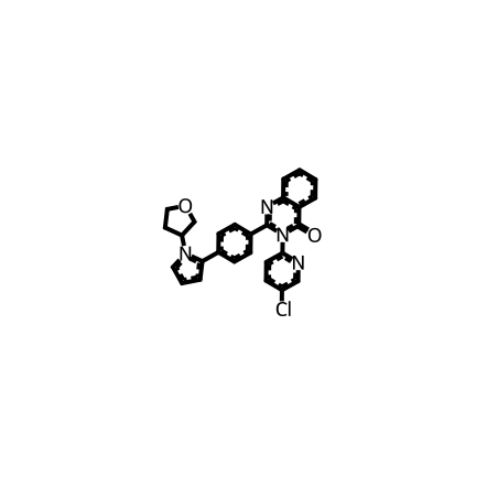 O=c1c2ccccc2nc(-c2ccc(-c3cccn3C3CCOC3)cc2)n1-c1ccc(Cl)cn1